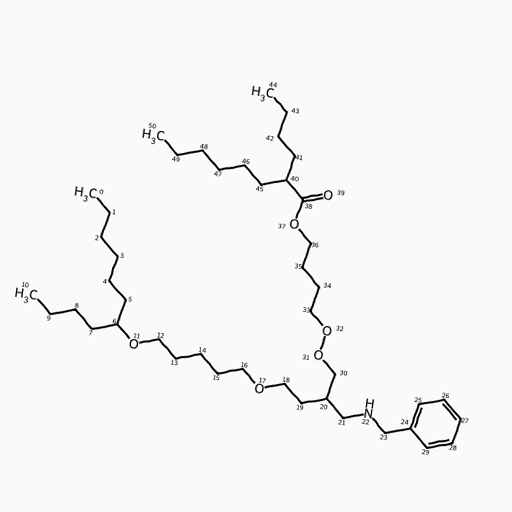 CCCCCCC(CCCC)OCCCCCOCCC(CNCc1ccccc1)COOCCCCOC(=O)C(CCCC)CCCCCC